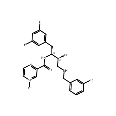 CCc1cccc(CNC[C@H](O)[C@H](Cc2cc(F)cc(F)c2)NC(=O)c2c[n+]([O-])ccn2)c1